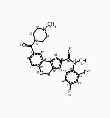 CN1CCN(C(=O)c2ccc3c(c2)-c2sc(C(=O)N(C)c4ccc(F)cc4F)cc2CO3)CC1